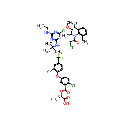 CCNc1nc(Cl)nc(NC(C)(C)C)n1.CCc1cccc(C)c1N(C(=O)CCl)C(C)COC.C[C@H](OC(=O)c1cc(Oc2ccc(C(F)(F)F)cc2Cl)ccc1Cl)C(=O)O